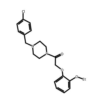 CCOc1ccccc1OCC(=O)N1CCN(Cc2ccc(Cl)cc2)CC1